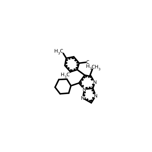 Cc1cc(C)c(-c2c(C)nc3ncnn3c2C2CCCCC2)c(C)c1